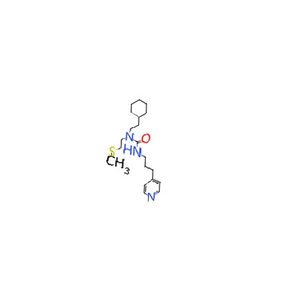 CSCCN(CCC1CCCCC1)C(=O)NCCCc1ccncc1